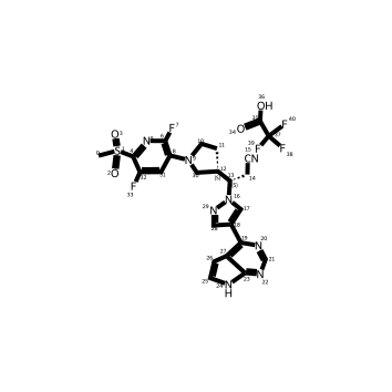 CS(=O)(=O)c1nc(F)c(N2CC[C@H]([C@H](CC#N)n3cc(-c4ncnc5[nH]ccc45)cn3)C2)cc1F.O=C(O)C(F)(F)F